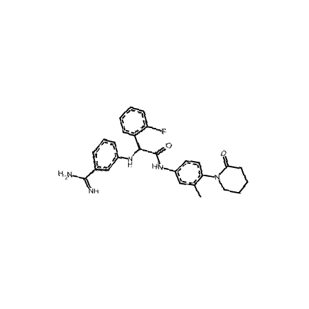 Cc1cc(NC(=O)C(Nc2cccc(C(=N)N)c2)c2ccccc2F)ccc1N1CCCCC1=O